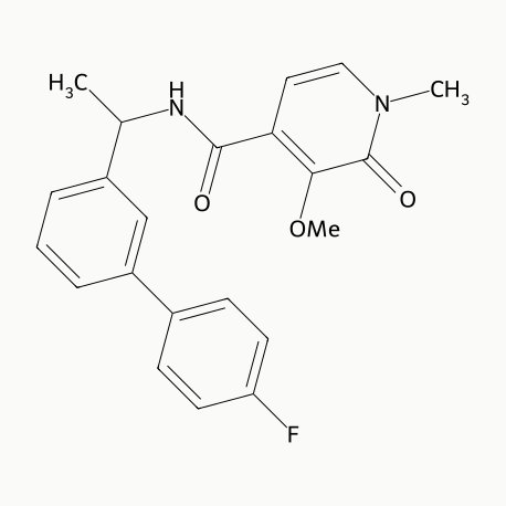 COc1c(C(=O)NC(C)c2cccc(-c3ccc(F)cc3)c2)ccn(C)c1=O